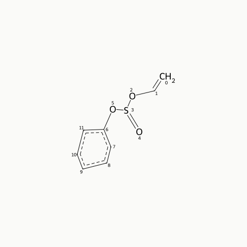 C=COS(=O)Oc1ccccc1